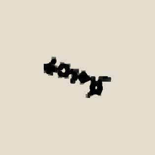 COc1ccc(F)cc1O[C@H]1C[C@H](C(=O)NC2CCN(c3nnnn3C)CC2)C1